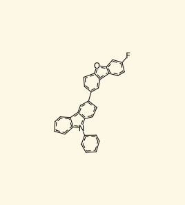 Fc1ccc2c(c1)oc1ccc(-c3ccc4c(c3)c3ccccc3n4-c3ccccc3)cc12